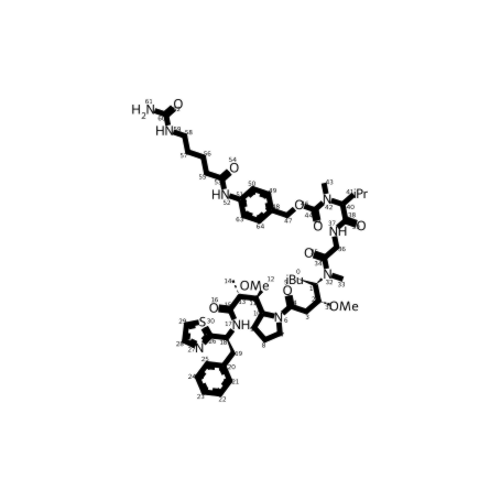 CC[C@H](C)[C@@H]([C@@H](CC(=O)N1CCCC1[C@H](OC)[C@@H](C)C(=O)N[C@@H](Cc1ccccc1)c1nccs1)OC)N(C)C(=O)CNC(=O)C(C(C)C)N(C)C(=O)OCc1ccc(NC(=O)CCCCNC(N)=O)cc1